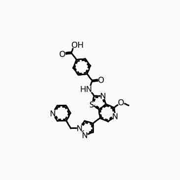 COc1ncc(-c2cnn(Cc3cccnc3)c2)c2sc(NC(=O)c3ccc(C(=O)O)cc3)nc12